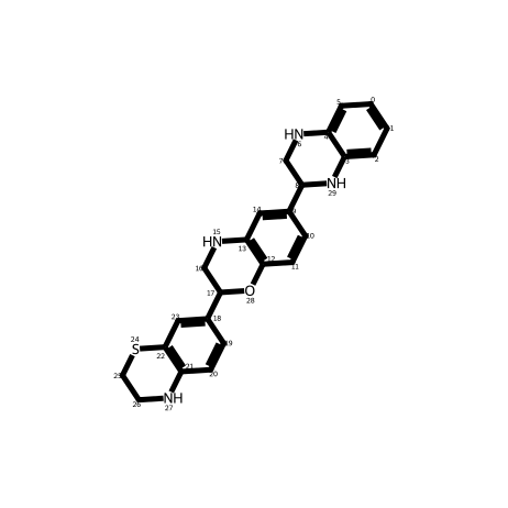 c1ccc2c(c1)NCC(c1ccc3c(c1)NCC(c1ccc4c(c1)SCCN4)O3)N2